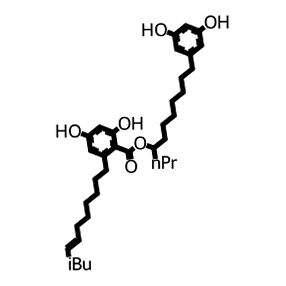 CCCC(CCCCCCCc1cc(O)cc(O)c1)OC(=O)c1c(O)cc(O)cc1CCCCCC/C=C/C(C)CC